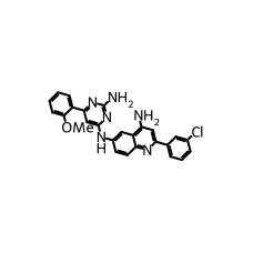 COc1ccccc1-c1cc(Nc2ccc3nc(-c4cccc(Cl)c4)cc(N)c3c2)nc(N)n1